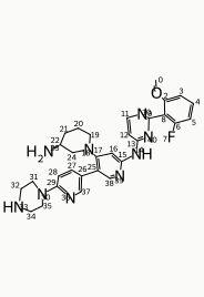 COc1cccc(F)c1-c1nccc(Nc2cc(N3CCC[C@H](N)C3)c(-c3ccc(N4CCNCC4)nc3)cn2)n1